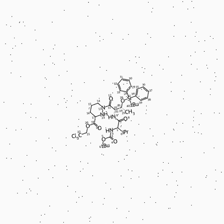 CC(C)C(NC(=O)OC(C)(C)C)C(=O)N[C@H](C(=O)N1CCCC(C(=O)OCC(Cl)(Cl)Cl)N1)[C@@H](C)O[Si](c1ccccc1)(c1ccccc1)C(C)(C)C